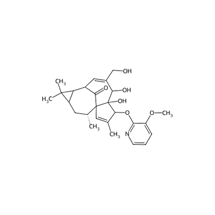 COc1cccnc1OC1C(C)=CC23C(=O)C(C=C(CO)C(O)C12O)C1C(C[C@H]3C)C1(C)C